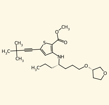 CCC[C@@H](CCCO[C@H]1CCOC1)Nc1cc(C#CC(C)(C)C)sc1C(=O)OC